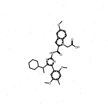 COc1ccc2c(c1)cc(C(=O)Nc1nc(-c3cc(OC)c(C)cc3OC)c(C(C)C3CCCCC3)s1)n2CC(=O)O